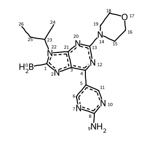 Bc1nc2c(-c3cnc(N)nc3)nc(N3CCOCC3)nc2n1C(C)CC